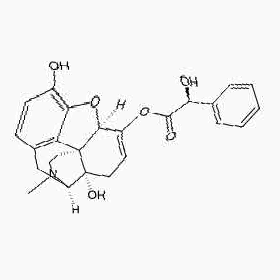 CN1CC[C@]23c4c5ccc(O)c4O[C@H]2C(OC(=O)[C@@H](O)c2ccccc2)=CC[C@@]3(O)[C@H]1C5